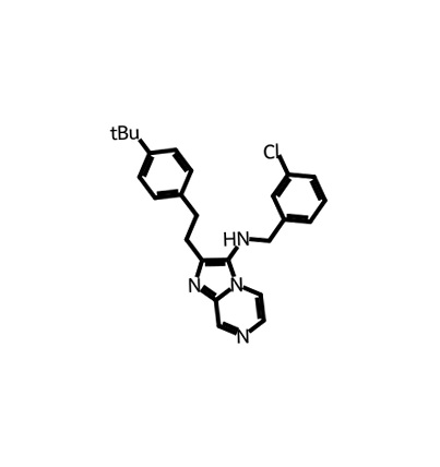 CC(C)(C)c1ccc(CCc2nc3cnccn3c2NCc2cccc(Cl)c2)cc1